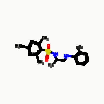 CCCCc1ccccc1NCC(NS(=O)(=O)c1c(C)cc(C)cc1C)C(F)(F)F